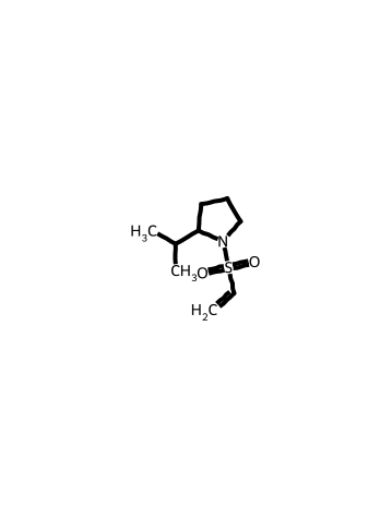 C=CS(=O)(=O)N1CCCC1C(C)C